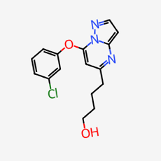 OCCCCc1cc(Oc2cccc(Cl)c2)n2nccc2n1